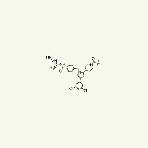 CC(C)(C)C(=O)N1CCC(c2cc(-c3cc(Cl)cc(Cl)c3)nn2Cc2ccc(C(=O)N/C(N)=N/N=N)cc2)CC1